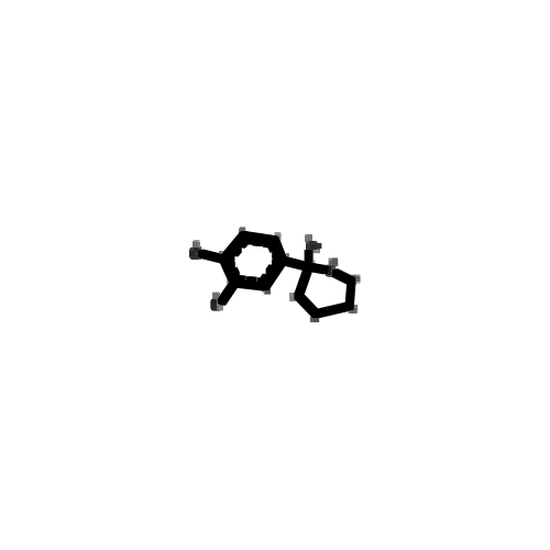 CC(C)C1(c2ccc(Cl)c(Cl)c2)CCCCC1